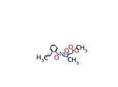 C/C=C/c1ccccc1C(=O)NCC(C)C(=O)CC(=O)OC